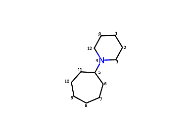 [CH]1CCCN(C2CCCCCC2)C1